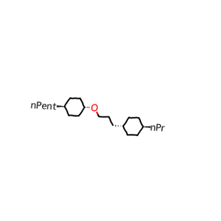 CCCCC[C@H]1CC[C@H](OCCC[C@H]2CC[C@H](CCC)CC2)CC1